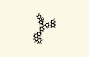 c1ccc2c(-c3ccc(N(c4ccc(-c5ccc6c(ccc7ccc8ccccc8c76)c5)cc4)c4ccc5c(c4)oc4ccccc45)cc3)cccc2c1